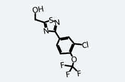 OCc1nc(-c2ccc(OC(F)(F)F)c(Cl)c2)ns1